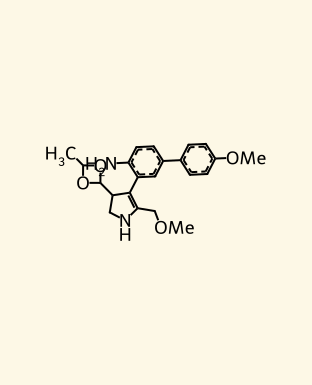 COCC1=C(c2cc(-c3ccc(OC)cc3)ccc2N)C(C2OC(C)O2)CN1